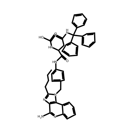 CCCCc1nc2c(N)nc3ccccc3c2n1Cc1ccc(NC(=O)C(CC(=O)NC(c2ccccc2)(c2ccccc2)c2ccccc2)NC(=O)O)cc1